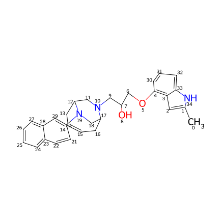 Cc1cc2c(OCC(O)CN3CC4CC=CCC3CN4c3ccc4ccccc4c3)cccc2[nH]1